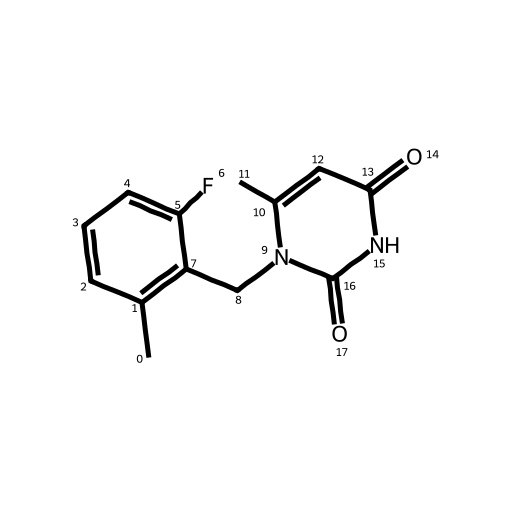 Cc1cccc(F)c1Cn1c(C)cc(=O)[nH]c1=O